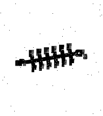 CCCC(F)(F)C(F)(F)C(F)(F)C(F)(F)C(F)(F)C(F)(F)C(F)(F)F